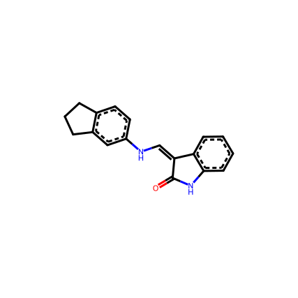 O=C1Nc2ccccc2C1=CNc1ccc2c(c1)CCC2